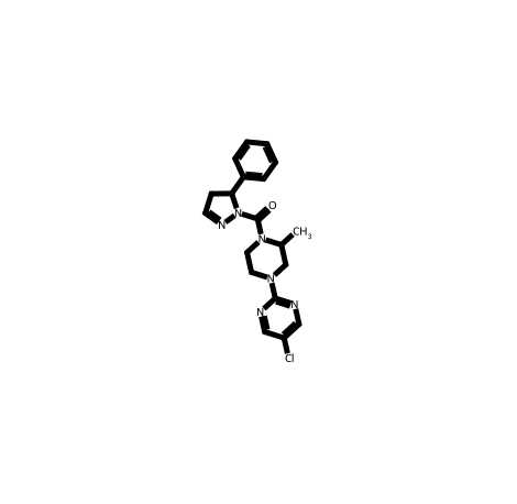 CC1CN(c2ncc(Cl)cn2)CCN1C(=O)N1N=CCC1c1ccccc1